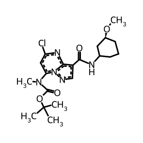 CO[C@H]1CCCC(NC(=O)c2cnn3c(N(C)C(=O)OC(C)(C)C)cc(Cl)nc23)C1